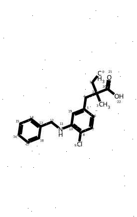 CCC(C)(Cc1ccc(Cl)c(NCc2ccccc2)c1)C(=O)O